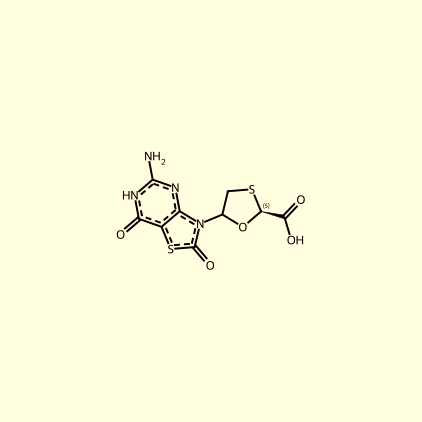 Nc1nc2c(sc(=O)n2C2CS[C@@H](C(=O)O)O2)c(=O)[nH]1